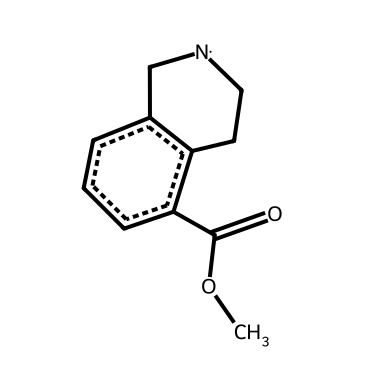 COC(=O)c1cccc2c1CC[N]C2